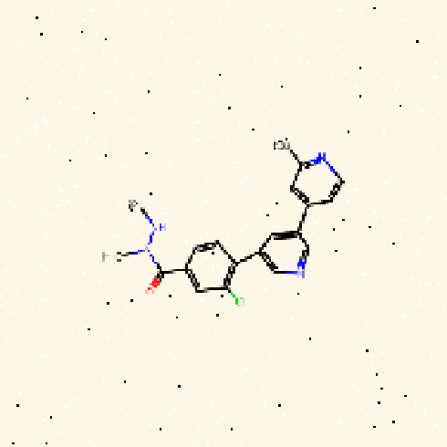 CC(C)NN(C)C(=O)c1ccc(-c2cncc(-c3ccnc(C(C)(C)C)c3)c2)c(Cl)c1